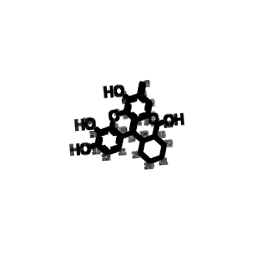 C=c1ccc2c(c1O)Oc1c(ccc(O)c1O)C=2C1CCCCC1C(=O)O